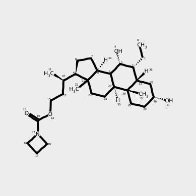 CC[C@H]1[C@@H](O)C2[C@@H]3CC[C@H]([C@H](C)CCOC(=O)N4CCC4)C3(C)CC[C@@H]2[C@@]2(C)CC[C@@H](O)C[C@@H]12